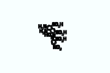 Nc1cc(S(=O)(=O)O)c2cc(S(=O)(=O)O)c(N=Nc3ccc([N+](=O)[O-])cc3S(=O)(=O)O)c(O)c2c1N